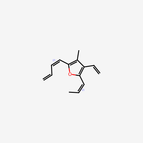 C=C/C=C\c1oc(/C=C\C)c(C=C)c1C